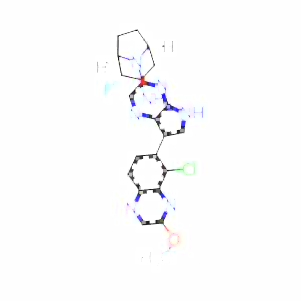 COc1cnc2ccc(-c3c[nH]c4nc(N5[C@H]6CC[C@@H]5[C@@H](F)[C@@H](N)C6)cnc34)c(Cl)c2n1